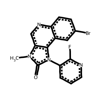 Cn1c(=O)n(-c2cccnc2F)c2c3cc(Br)ccc3ncc21